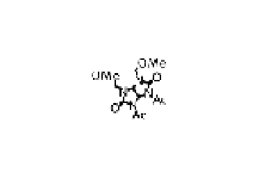 COCN1C(=O)N(C(C)=O)C2C1N(COC)C(=O)N2C(C)=O